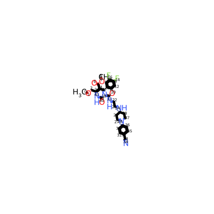 COCC1=C(C(=O)OC)[C@H](c2ccc(F)c(F)c2)N(C(=O)NCCNC2CCN(c3ccc(C#N)cc3)CC2)C(=O)N1